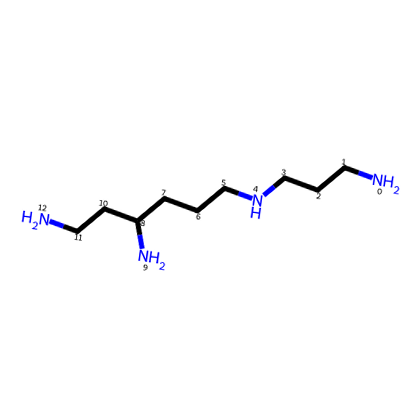 NCCCNCCCC(N)CCN